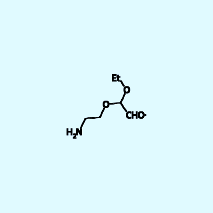 CCOC([C]=O)OCCN